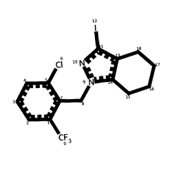 FC(F)(F)c1cccc(Cl)c1Cn1nc(I)c2c1CCCC2